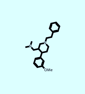 COc1cccc(C2CCN(CCc3ccccc3)CC2CN(C)C)c1